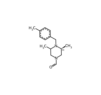 Cc1ccc(CN2C(C)CN(C=O)C[C@@H]2C)cc1